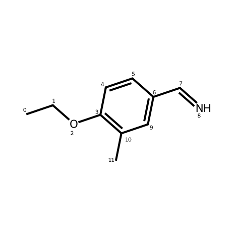 CCOc1ccc(C=N)cc1C